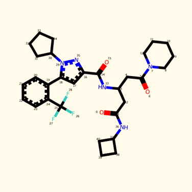 O=C(CC(CC(=O)N1CCCCC1)NC(=O)c1cc(-c2ccccc2C(F)(F)F)n(C2CCCC2)n1)NC1CCC1